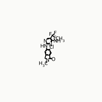 CNc1nc(Nc2cc3c(cc2Cl)C(=O)N(C)C3)ncc1C(F)(F)F